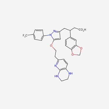 O=C(O)CC(Cc1cc(OCCc2ccc3c(n2)NCCN3)n(-c2ccc(C(F)(F)F)cc2)n1)c1ccc2c(c1)OCO2